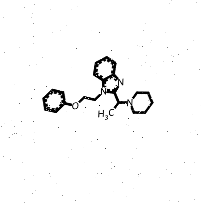 CC(c1nc2ccccc2n1CCOc1ccccc1)N1CCCCC1